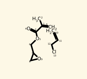 C=C(C)C(=O)OCC1CO1.C=CCCl